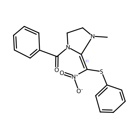 CN1CCN(C(=O)c2ccccc2)/C1=C(/Sc1ccccc1)[N+](=O)[O-]